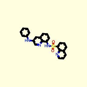 O=S(=O)(Nc1cccc2cc(Nc3ccccc3)cnc12)c1cccc2cccnc12